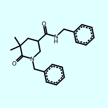 CC1(C)CC(C(=O)NCc2ccccc2)CN(Cc2ccccc2)C1=O